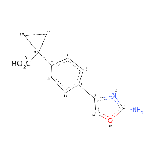 Nc1nc(-c2ccc(C3(C(=O)O)CC3)cc2)co1